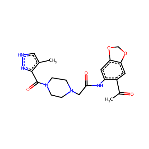 CC(=O)c1cc2c(cc1NC(=O)CN1CCN(C(=O)c3n[nH]cc3C)CC1)OCO2